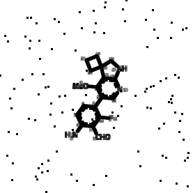 COc1c(-c2ccc(N)c(C=O)c2F)cnc2c1C1(CCC1)CN2